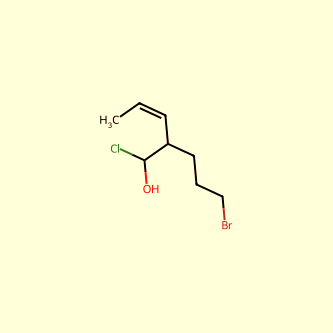 C/C=C\C(CCCBr)C(O)Cl